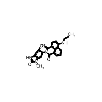 CCCNc1ccc2c3c(cccc13)C(=O)N(c1cc3c(cc1C)[nH]c(=O)n3C)C2=O